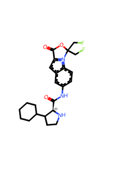 O=C1OC(CF)(CF)n2c1cc1cc(NC(=O)[C@H]3NCCC3C3CCCCC3)ccc12